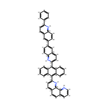 c1ccc(-c2ccc3cc(-c4ccc5nc(-c6c7ccccc7c(-c7ccc8ccc9cccnc9c8n7)c7ccccc67)ccc5c4)ccc3n2)cc1